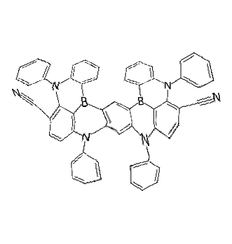 N#Cc1ccc2c3c1N(c1ccccc1)c1ccccc1B3c1cc3c(cc1N2c1ccccc1)N(c1ccccc1)c1ccc(C#N)c2c1B3c1ccccc1N2c1ccccc1